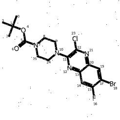 CC(C)(C)OC(=O)N1CCN(c2nc3cc(F)c(Br)cc3nc2Cl)CC1